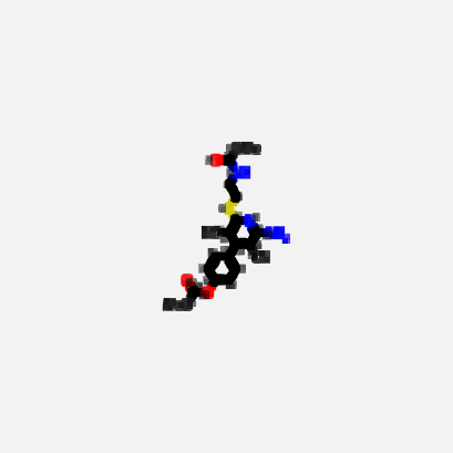 COC(=O)NCCSc1nc(N)c(C#N)c(-c2ccc(OC(=O)OC)cc2)c1C#N